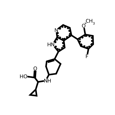 COc1ccc(F)cc1-c1ccnc2[nH]c(C3=CCC(NC(C(=O)O)C4CC4)CC3)cc12